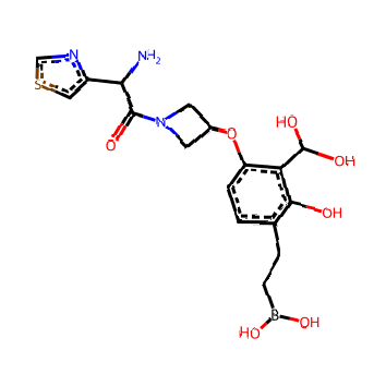 NC(C(=O)N1CC(Oc2ccc(CCB(O)O)c(O)c2C(O)O)C1)c1cscn1